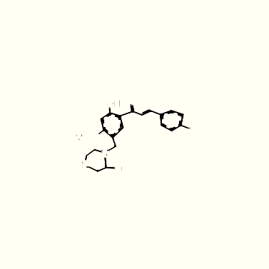 CCC1CNCCN1Cc1cc(C(=O)/C=C/c2ccc(F)cc2)c(O)cc1OC